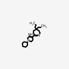 CCCC1(CCC)CCN=C=C(C2=C(N)CN(C3CCCCC3)CC2)CC1